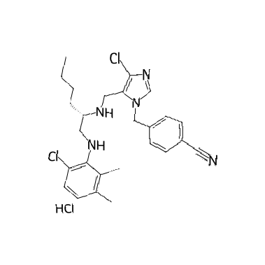 CCCC[C@@H](CNc1c(Cl)ccc(C)c1C)NCc1c(Cl)ncn1Cc1ccc(C#N)cc1.Cl